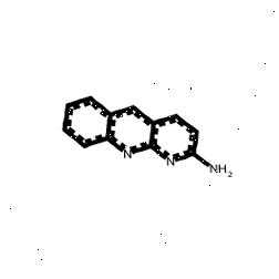 Nc1ccc2cc3ccccc3nc2n1